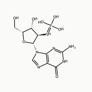 Nc1nc2c(ncn2[C@@H]2O[C@H](CO)[C@H](O)[C@H]2[SH]=P(O)(O)O)c(=O)[nH]1